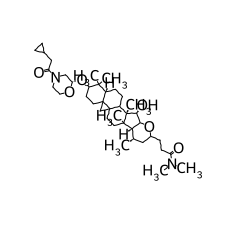 C[C@@H]1CC(CCC(=O)N(C)C)OC2[C@H]1C1(C)CCC34CC35CCC(O[C@H]3CN(C(=O)CC6CC6)CCO3)C(C)(C)[C@@H]5CCC4[C@]1(C)[C@H]2O